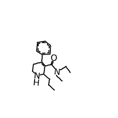 CCCC1NCCC(c2ccccc2)=C1C(=O)N(CC)CC